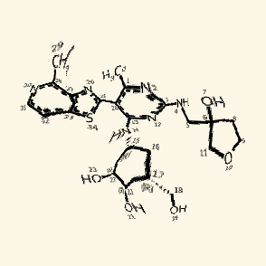 Cc1nc(NCC2(O)CCOC2)nc(N[C@@H]2C[C@H](CO)[C@@H](O)[C@H]2O)c1-c1nc2c(C)nccc2s1